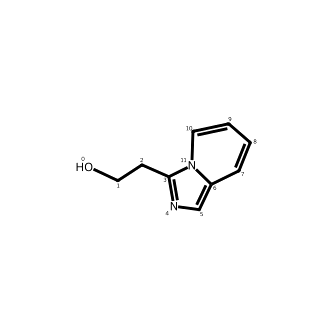 OCCc1ncc2ccccn12